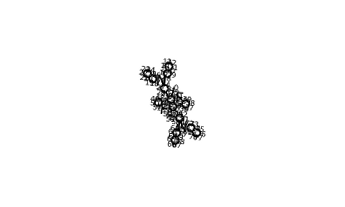 CC1(C)c2cc(N(c3ccc4ccccc4c3)c3ccc4ccccc4c3)ccc2-c2c1cc1c(-c3ccccc3F)c3c(cc1c2-c1ccccc1F)C(C)(C)c1cc(N(c2ccc4ccccc4c2)c2ccc4ccccc4c2)ccc1-3